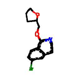 Brc1ccc2c(OCC3CCCO3)nccc2c1